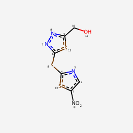 O=[N+]([O-])c1cnc(Sc2nnc(CO)s2)s1